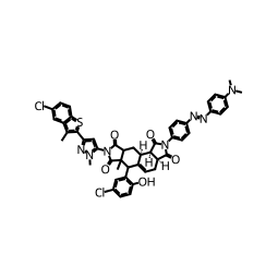 Cc1c(-c2cc(N3C(=O)C4C[C@@H]5C(=CC[C@@H]6C(=O)N(c7ccc(/N=N/c8ccc(N(C)C)cc8)cc7)C(=O)[C@@H]65)C(c5cc(Cl)ccc5O)C4(C)C3=O)n(C)n2)sc2ccc(Cl)cc12